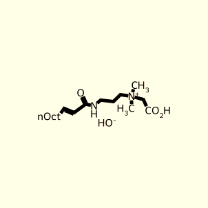 CCCCCCCCC=CC(=O)NCCC[N+](C)(C)CC(=O)O.[OH-]